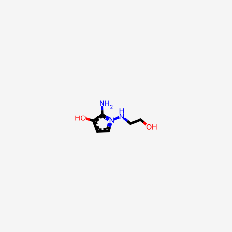 Nc1c(O)ccn1NCCO